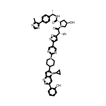 Cc1ncsc1-c1ccc([C@H](C)NC(=O)[C@@H]2C[C@@H](O)CN2C(=O)[C@@H](c2cc(-c3cnc(N4CCC(c5cc6nnc(-c7ccccc7O)cc6n5C5CC5)CC4)nc3)no2)C(C)C)cc1